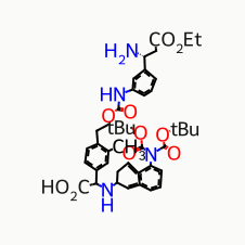 CCOC(=O)C[C@@H](N)c1cccc(NC(=O)OCCc2ccc(C(NC3C=c4cccc(N(C(=O)OC(C)(C)C)C(=O)OC(C)(C)C)c4=CC3)C(=O)O)cc2C)c1